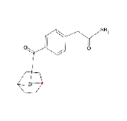 NC(=O)Cc1ccc(C(=O)N2CC3CCC(CC3)C2)cc1